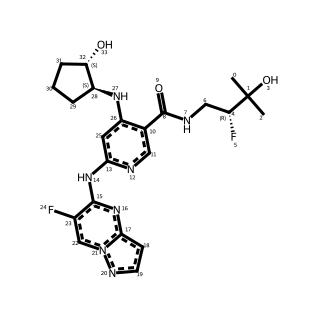 CC(C)(O)[C@H](F)CNC(=O)c1cnc(Nc2nc3ccnn3cc2F)cc1N[C@H]1CCC[C@@H]1O